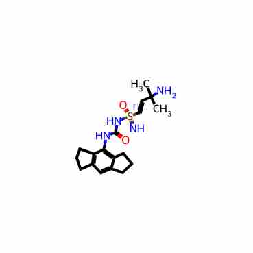 CC(C)(N)/C=C/S(=N)(=O)NC(=O)Nc1c2c(cc3c1CCC3)CCC2